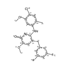 COc1cc(Nc2nc(=O)c(OC)cn2Cc2cc(F)cc(F)c2)c(C)cc1Cl